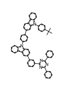 CC(C)(C)c1ccc(-n2c3ccccc3c3ccc(-c4ccc(-n5c6ccccc6c6cc(-c7cccc(-c8nc(-c9ccccc9)nc(-c9ccccc9)n8)c7)ccc65)cc4)cc32)cc1